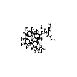 CCCC[NH+](CCCC)CCCC.CC[Si](Cl)(CC)c1c(F)c(F)c([B-](c2c(F)c(F)c(F)c(F)c2F)(c2c(F)c(F)c(F)c(F)c2F)c2c(F)c(F)c(F)c(F)c2F)c(F)c1F